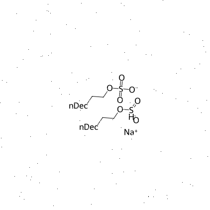 CCCCCCCCCCCCOS(=O)(=O)[O-].CCCCCCCCCCCCO[SH](=O)=O.[Na+]